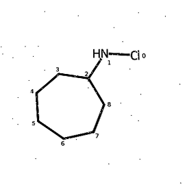 ClN[C]1CCCCCC1